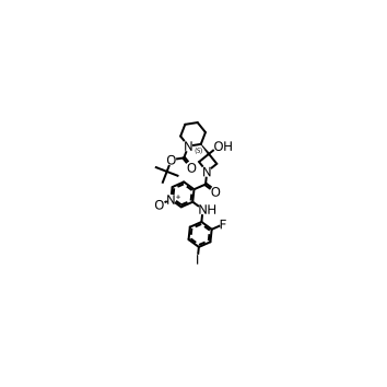 CC(C)(C)OC(=O)N1CCCC[C@H]1C1(O)CN(C(=O)c2cc[n+]([O-])cc2Nc2ccc(I)cc2F)C1